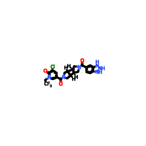 O=C(c1ccc2c(c1)NNN2)N1C[C@@H]2[C@H](C1)[C@H]1CN(C(=O)c3cc(Cl)c(=O)n(CC(F)(F)F)c3)C[C@@H]21